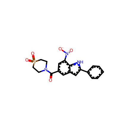 O=C(c1cc([N+](=O)[O-])c2[nH]c(-c3ccccc3)cc2c1)N1CCS(=O)(=O)CC1